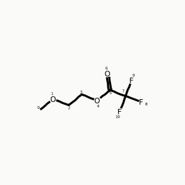 COCCOC(=O)C(F)(F)F